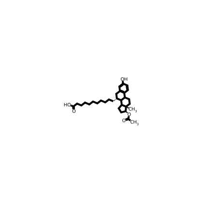 CC(=O)O[C@H]1CCC2C3C(CC[C@@]21C)c1ccc(O)cc1C[C@H]3CCCCCCCCCCC(=O)O